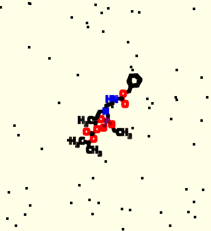 CCCN(CCNC(=O)OCc1ccccc1)CP(=O)(OCC)OCOC(=O)OC(C)C